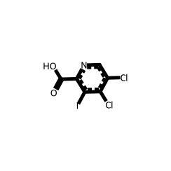 O=C(O)c1ncc(Cl)c(Cl)c1I